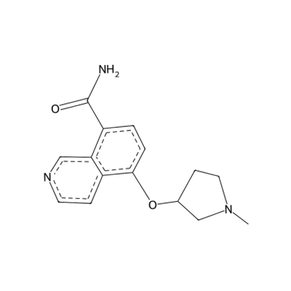 CN1CCC(Oc2ccc(C(N)=O)c3cnccc23)C1